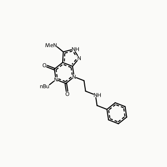 CCCCn1c(=O)c2c(NC)[nH]nc2n(CCNCc2ccccc2)c1=O